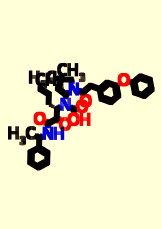 CCCC[C@@H](C(=O)C(=O)NC(C)c1ccccc1)N(C(=O)O)C1CC(C)(C)CN1C(=O)Cc1cccc(Oc2ccccc2)c1